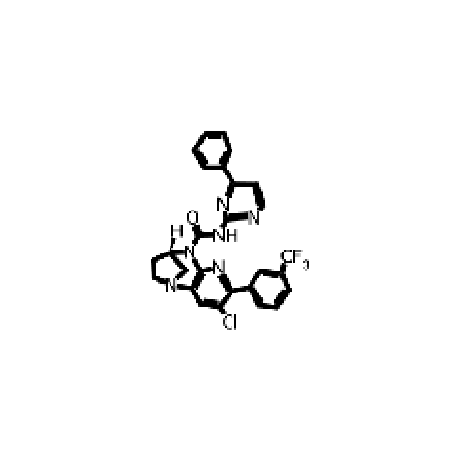 O=C(Nc1nccc(-c2ccccc2)n1)N1c2nc(-c3cccc(C(F)(F)F)c3)c(Cl)cc2N2CC[C@H]1C2